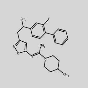 CC(Cc1cc(N=C(N)N2CCN(C)CC2)on1)c1ccc(-c2ccccc2)c(F)c1